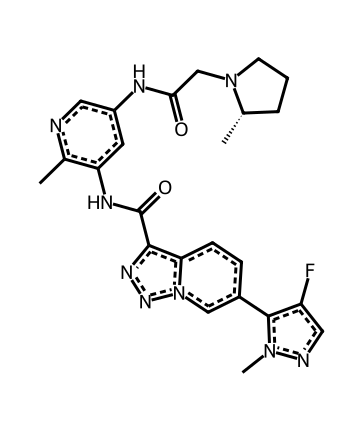 Cc1ncc(NC(=O)CN2CCC[C@@H]2C)cc1NC(=O)c1nnn2cc(-c3c(F)cnn3C)ccc12